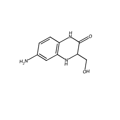 Nc1ccc2c(c1)NC(CO)C(=O)N2